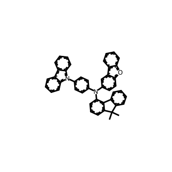 CC1(C)c2ccccc2-c2c(N(c3ccc(-n4c5ccccc5c5ccccc54)cc3)c3ccc4oc5ccccc5c4c3)cccc21